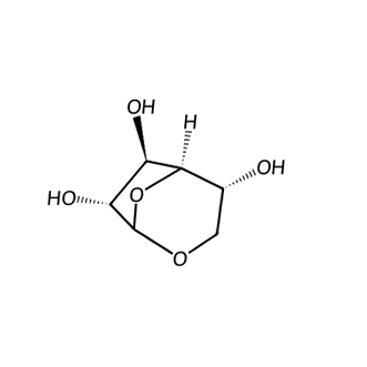 O[C@H]1[C@@H]2OC(OC[C@H]2O)[C@@H]1O